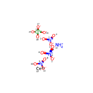 O=[N+]([O-])[O-].O=[N+]([O-])[O-].O=[N+]([O-])[O-].[Ce+3].[NH4+].[O-][Cl+3]([O-])([O-])[O-]